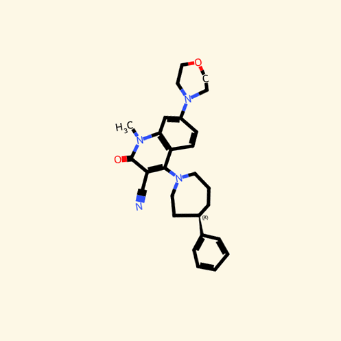 Cn1c(=O)c(C#N)c(N2CCC[C@@H](c3ccccc3)CC2)c2ccc(N3CCOCC3)cc21